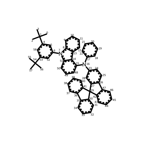 CC(C)(C)c1cc(-n2c3ccccc3c3c(N(c4ccccc4)c4ccc5c(c4)C4(c6ccccc6-c6ccccc64)c4ccccc4-5)cccc32)cc(C(C)(C)C)c1